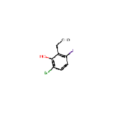 O=CCc1c(I)ccc(Br)c1O